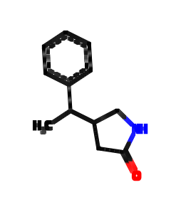 CC(c1ccccc1)C1CNC(=O)C1